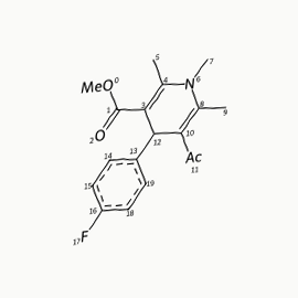 COC(=O)C1=C(C)N(C)C(C)=C(C(C)=O)C1c1ccc(F)cc1